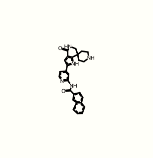 O=C(Nc1cc(-c2cc3c([nH]2)C2(CCNCC2)CNC3=O)ccn1)c1ccc2ccccc2c1